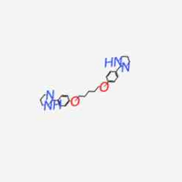 c1cc(C2=NCCCN2)ccc1OCCCCCOc1ccc(C2=NCCCN2)cc1